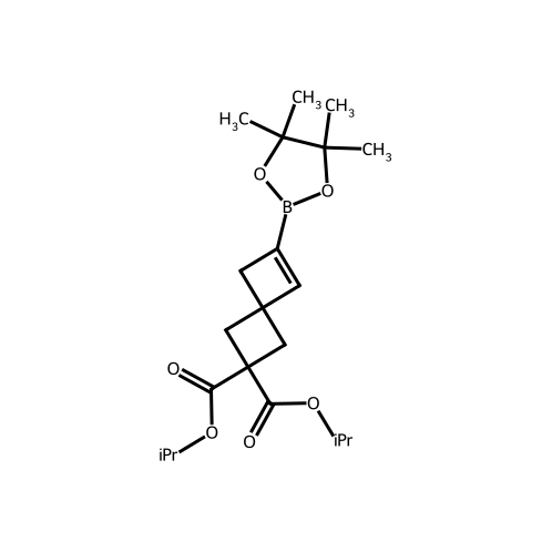 CC(C)OC(=O)C1(C(=O)OC(C)C)CC2(C=C(B3OC(C)(C)C(C)(C)O3)C2)C1